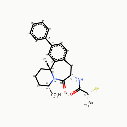 CC[C@@H](C)[C@@H](S)C(=O)N[C@H]1Cc2ccc(-c3ccccc3)cc2[C@H]2CCC[C@@H](C(=O)O)N2C1=O